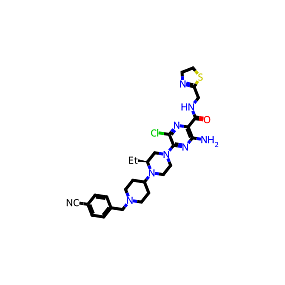 CC[C@H]1CN(c2nc(N)c(C(=O)NCC3=NCCS3)nc2Cl)CCN1C1CCN(Cc2ccc(C#N)cc2)CC1